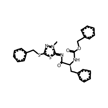 Cn1nc(SCc2ccccc2)sc1=NC(=O)[C@H](Cc1ccccc1)NC(=O)OCc1ccccc1